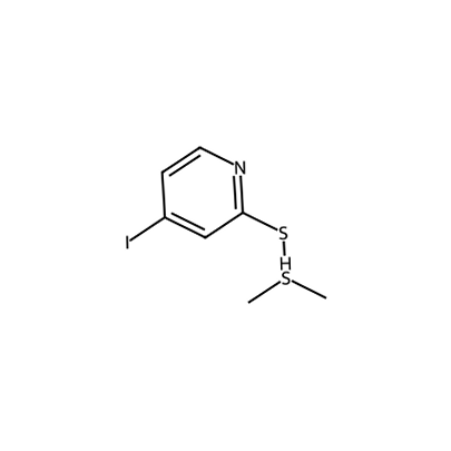 C[SH](C)Sc1cc(I)ccn1